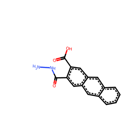 NNC(=O)c1cc2cc3ccccc3cc2cc1C(=O)O